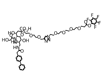 O=C(Cc1ccc(-c2ccccc2)cc1)NC[C@@H](O)[C@@H](O)[C@@H]1O[C@](SCCOCCOCc2cn(CCOCCOCCOCCOCCC(=O)Oc3c(F)c(F)c(F)c(F)c3F)nn2)(C(=O)O)C[C@H](O)[C@H]1NC(=O)CO